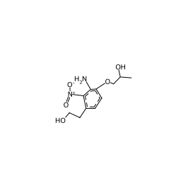 CC(O)COc1ccc(CCO)c([N+](=O)[O-])c1N